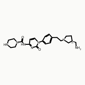 NC[C@@H]1CCN(CCc2ccc(-n3ccc(NC(=O)N4CCNCC4)nc3=O)cc2)C1